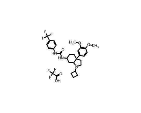 COc1ccc(C23CCC(NC(=O)Nc4ccc(C(F)(F)F)cc4)CC2N(C2CCC2)CC3)cc1OC.O=C(O)C(F)(F)F